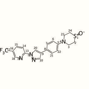 [O-][S+]1CCN(c2ccc(-c3cnn(-c4ccc(C(F)(F)F)cn4)c3)cc2)CC1